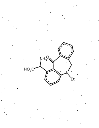 CCN1Cc2ccccc2C(=O)c2c(C(C)C(=O)O)cccc21